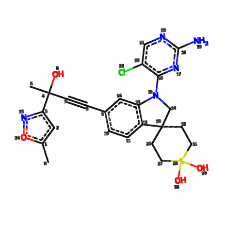 Cc1cc(C(C)(O)C#Cc2ccc3c(c2)N(c2nc(N)ncc2Cl)CC32CCS(O)(O)CC2)no1